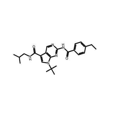 CCc1ccc(C(=O)Nc2ncc3c(C(=O)NCC(C)C)cn(C(C)(C)C)c3n2)cc1